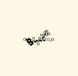 CCOC(=O)CN(CCNC(OCC)OCC)CC(=O)NCCNc1ccnc2cc(Cl)ccc12